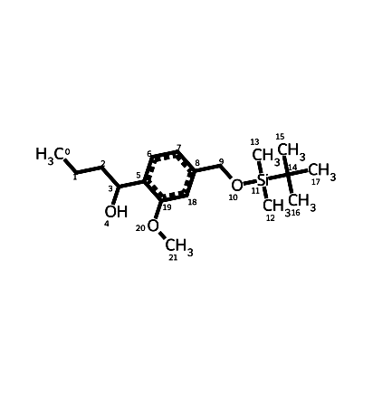 CCCC(O)c1ccc(CO[Si](C)(C)C(C)(C)C)cc1OC